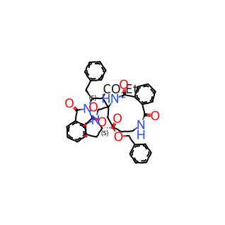 CCOC(=O)C([C@H](Cc1ccccc1)N1C(=O)c2ccccc2C1=O)C1(C(=O)N2CCC[C@H]2C(=O)OCc2ccccc2)CCCCNC(=O)c2ccccc2C(=O)N1